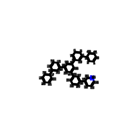 c1ccc(-c2cccc(-c3cc(-c4cccc(-c5ccccc5)c4)cc(-c4cccc(-c5cccnc5)c4)c3)c2)cc1